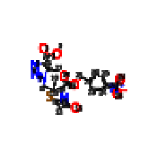 COC(=O)c1nnn(CC2(C)SC3CC(=O)N3C2C(=O)OCc2ccc([N+](=O)[O-])cc2)c1C